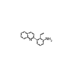 C=Cc1c(N)cccc1-c1ccc2ccccc2n1